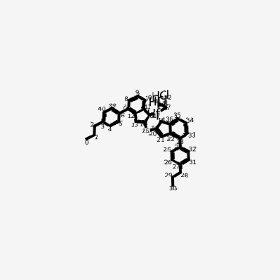 CCCc1ccc(-c2cccc3c2C=C(C)[CH]3[Hf]2([CH]3C(C)=Cc4c(-c5ccc(CCC)cc5)cccc43)[CH2][CH2]2)cc1.Cl.Cl